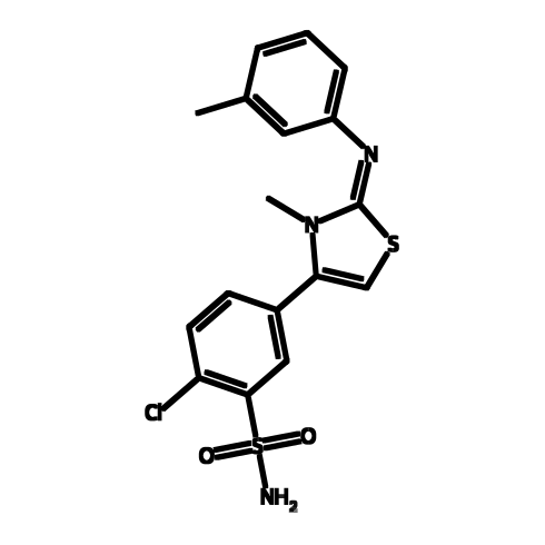 Cc1cccc(N=c2scc(-c3ccc(Cl)c(S(N)(=O)=O)c3)n2C)c1